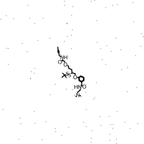 CC#CCNC(=O)COCCCC(COc1cccc(C(=O)NCCN(C)C)c1)SSC(C)(C)C